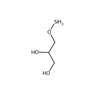 OCC(O)CO[SiH3]